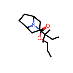 CCCOC(=O)N1C2CCC1CC(C(C)(C)CC)C2